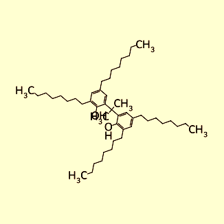 CCCCCCCCc1cc(CCCCCCCC)c(O)c(C(C)(C)c2cc(CCCCCCCC)cc(CCCCCCCC)c2O)c1